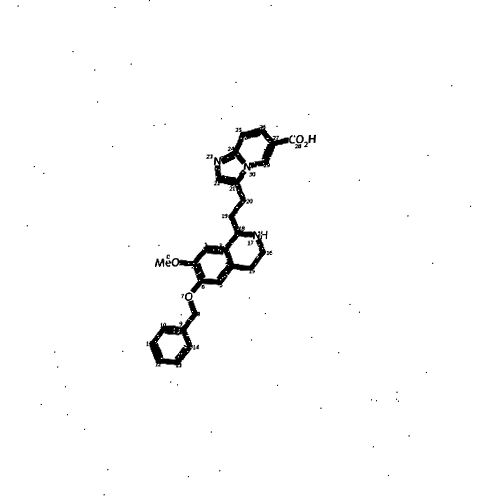 COc1cc2c(cc1OCc1ccccc1)CCNC2CCc1cnc2ccc(C(=O)O)cn12